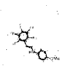 COc1ccc(NC=Cc2c(F)c(F)c(F)c(F)c2F)cc1